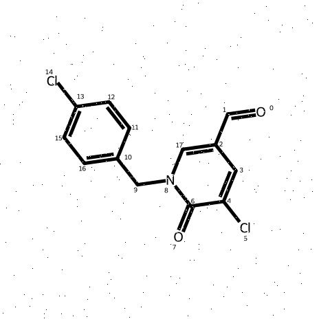 O=Cc1cc(Cl)c(=O)n(Cc2ccc(Cl)cc2)c1